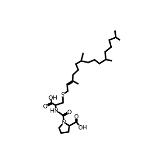 C/C(=C\CSCC(NC(=O)N1CCCC1C(=O)O)C(=O)O)CCCC(C)CCCC(C)CCCC(C)C